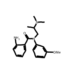 COc1cccc(N(CC(C)N(C)C)C(=O)c2ccccc2N)c1